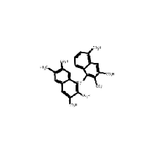 O=C(O)c1cc2c(C(=O)O)cccc2c(C(=O)O)c1C(=O)O.O=C(O)c1cc2cc(C(=O)O)c(C(=O)O)cc2cc1C(=O)O